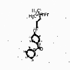 CCC[N+](C)(C)CCCOc1ccc(C(=O)c2ccccc2)cc1